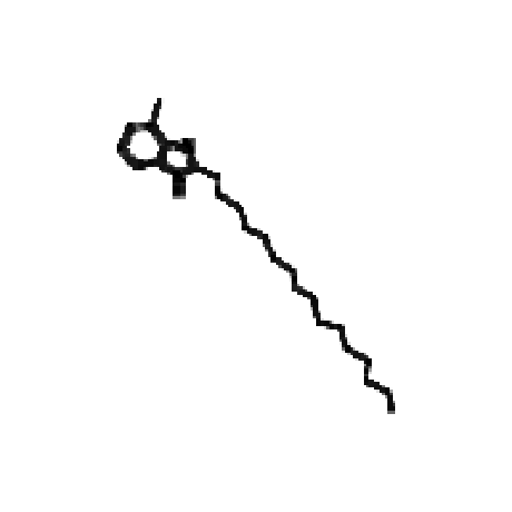 CCCCCCCCCCCCCCCCc1nc2c(C)cccc2[nH]1